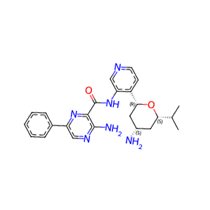 CC(C)[C@@H]1C[C@H](N)C[C@H](c2ccncc2NC(=O)c2nc(-c3ccccc3)cnc2N)O1